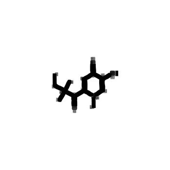 CCC(C)(C)C(=O)c1cc(=O)c(O)cn1C